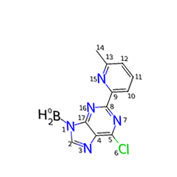 Bn1cnc2c(Cl)nc(-c3cccc(C)n3)nc21